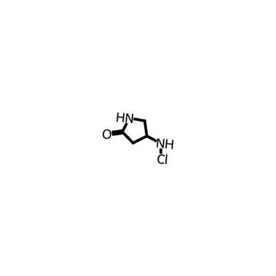 O=C1CC(NCl)CN1